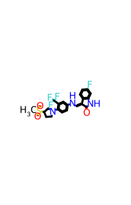 CS(=O)(=O)C1CCN(c2ccc(N/C=C3/C(=O)Nc4cc(F)ccc43)cc2C(F)(F)F)C1